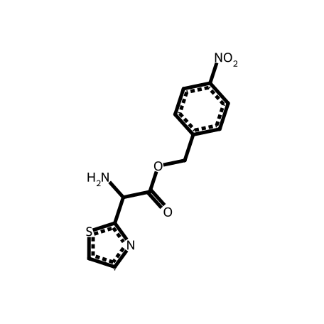 NC(C(=O)OCc1ccc([N+](=O)[O-])cc1)c1n[c]cs1